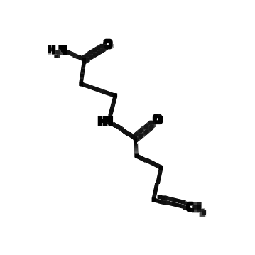 C=CCCC(=O)NCCC(N)=O